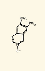 Nc1cc2cn[n+]([O-])cc2cc1N